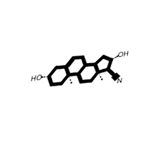 C[C@]12CCC3C(CC=C4C[C@@H](O)CC[C@@]43C)C1C[C@H](O)C2C#N